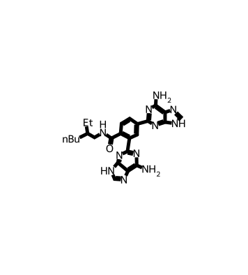 CCCCC(CC)CNC(=O)c1ccc(-c2nc(N)c3nc[nH]c3n2)cc1-c1nc(N)c2nc[nH]c2n1